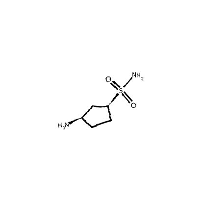 N[C@@H]1CC[C@H](S(N)(=O)=O)C1